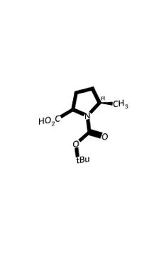 C[C@@H]1CCC(C(=O)O)N1C(=O)OC(C)(C)C